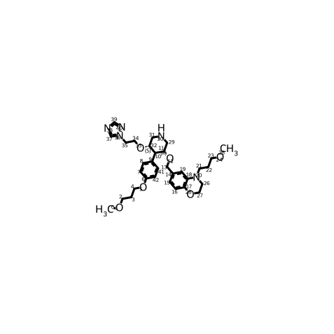 COCCCOc1ccc(C2[C@@H](OCc3ccc4c(c3)N(CCCOC)CCO4)CNC[C@H]2OCCn2cncn2)cc1